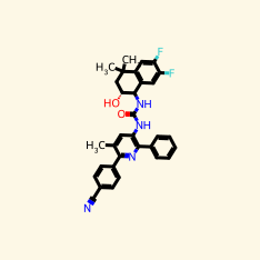 Cc1cc(NC(=O)NC2c3cc(F)c(F)cc3C(C)(C)C[C@H]2O)c(-c2ccccc2)nc1-c1ccc(C#N)cc1